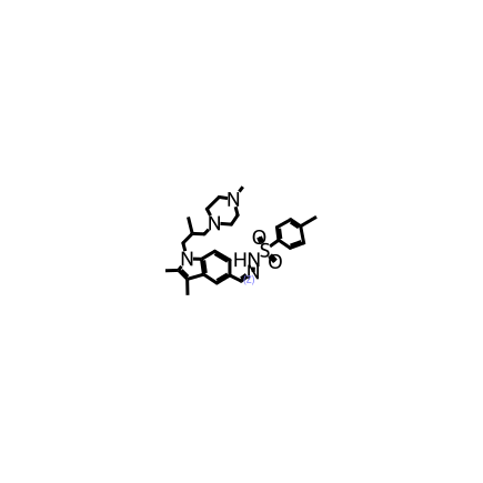 Cc1ccc(S(=O)(=O)N/N=C\c2ccc3c(c2)c(C)c(C)n3CC(C)CN2CCN(C)CC2)cc1